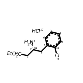 CCOC(=O)C[C@H](N)Cc1ccccc1Cl.Cl